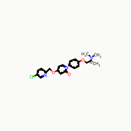 C[C@H](COc1ccc(-n2ccc(OCc3ccc(Cl)cn3)cc2=O)cc1)N(C)C